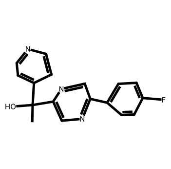 CC(O)(c1ccncc1)c1cnc(-c2ccc(F)cc2)cn1